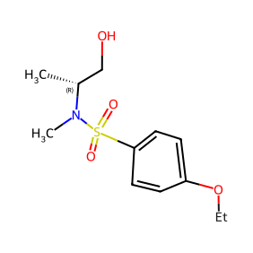 CCOc1ccc(S(=O)(=O)N(C)[C@H](C)CO)cc1